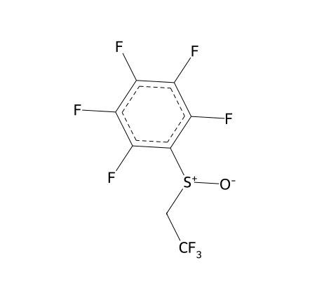 [O-][S+](CC(F)(F)F)c1c(F)c(F)c(F)c(F)c1F